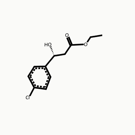 CCOC(=O)C[C@@H](O)c1ccc(Cl)cc1